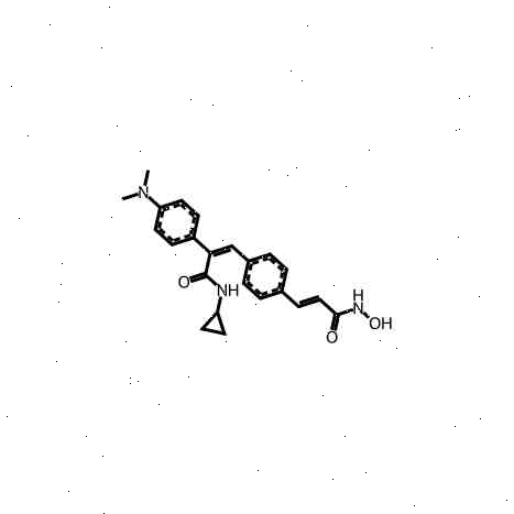 CN(C)c1ccc(/C(=C/c2ccc(/C=C/C(=O)NO)cc2)C(=O)NC2CC2)cc1